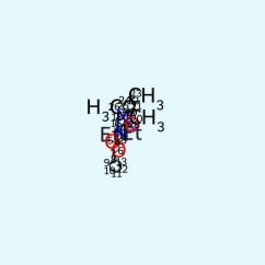 CC[N+](CC)(CC(=O)OCc1ccccc1)C1CCN(c2c(C)cc(C)cc2C)C1=O